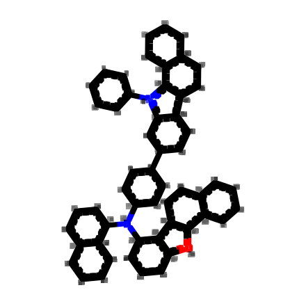 c1ccc(-n2c3cc(-c4ccc(N(c5cccc6ccccc56)c5cccc6oc7c8ccccc8ccc7c56)cc4)ccc3c3ccc4ccccc4c32)cc1